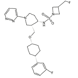 O=S(=O)(N[C@H]1CCN(c2cccnn2)C[C@H]1CO[C@H]1CC[C@@H](c2cccc(F)c2)CC1)N1CC(CF)C1